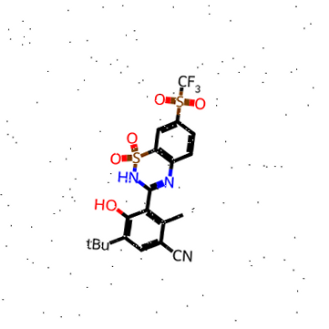 Cc1c(C#N)cc(C(C)(C)C)c(O)c1C1=Nc2ccc(S(=O)(=O)C(F)(F)F)cc2S(=O)(=O)N1